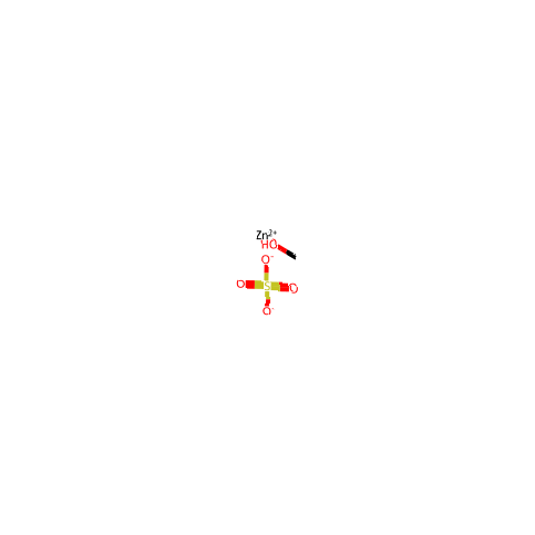 CO.O=S(=O)([O-])[O-].[Zn+2]